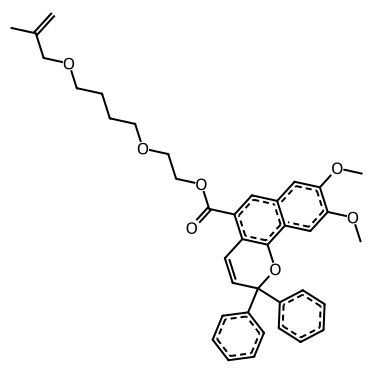 C=C(C)COCCCCOCCOC(=O)c1cc2cc(OC)c(OC)cc2c2c1C=CC(c1ccccc1)(c1ccccc1)O2